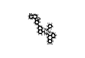 c1ccc(-c2nc(-c3cccc4cc(-c5ccc6c(c5)oc5ccc7ncccc7c56)ccc34)nc(-c3cc4ccccc4c4ccccc34)n2)cc1